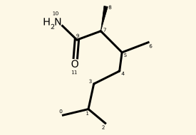 CC(C)CCC(C)[C@H](C)C(N)=O